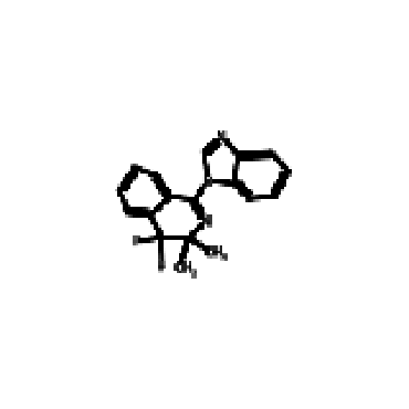 CC1(C)N=C(n2cnc3ccccc32)c2ccccc2C1(F)F